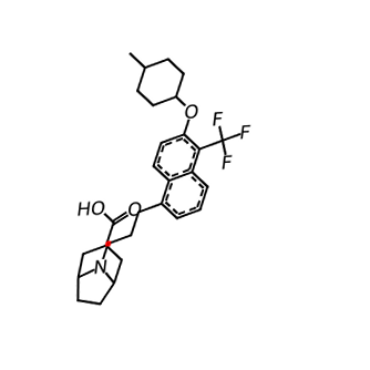 CC1CCC(Oc2ccc3c(CCCN4C5CCC4CC(C(=O)O)C5)cccc3c2C(F)(F)F)CC1